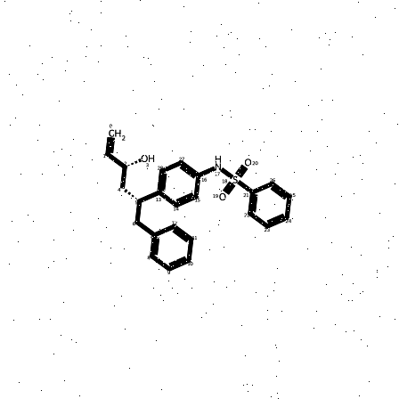 C=C[C@H](O)C[C@@H](Cc1c[c]ccc1)c1ccc(NS(=O)(=O)c2ccccc2)cc1